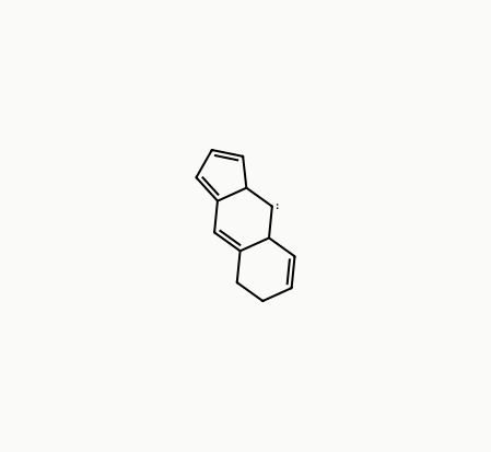 [C]1C2C=CC=C2C=C2CCC=CC12